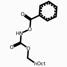 CCCCCCCCCOC(=O)NOC(=O)c1ccccc1